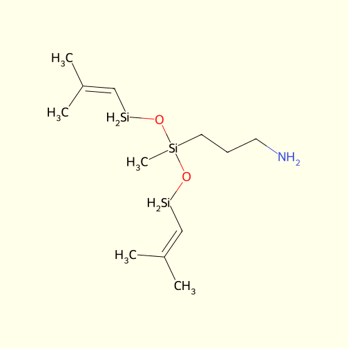 CC(C)=C[SiH2]O[Si](C)(CCCN)O[SiH2]C=C(C)C